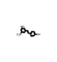 O=[N+]([O-])c1cc(C=Cc2ccc(O)cc2)cc([N+](=O)[O-])c1